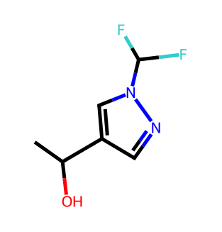 CC(O)c1cnn(C(F)F)c1